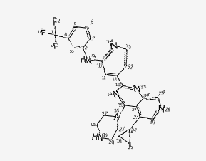 FC(F)(F)c1cccc(Nc2cc(-c3nc(N4CCNCC4)c4c(C5CC5)cncc4n3)ccn2)c1